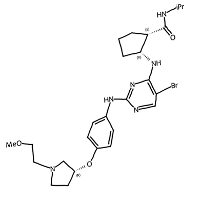 COCCN1CC[C@@H](Oc2ccc(Nc3ncc(Br)c(N[C@@H]4CCC[C@@H]4C(=O)NC(C)C)n3)cc2)C1